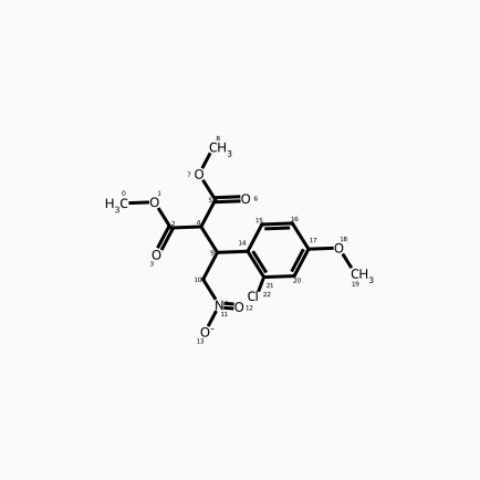 COC(=O)C(C(=O)OC)C(C[N+](=O)[O-])c1ccc(OC)cc1Cl